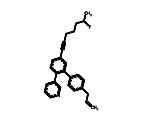 C=CCc1ccc(-c2cc(C#CCCCC(C)F)ccc2-c2cccnc2)cc1